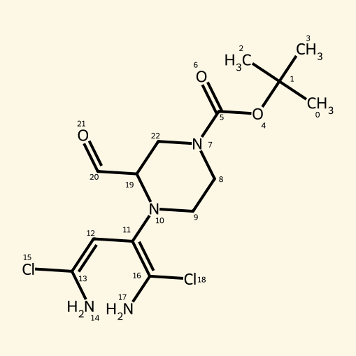 CC(C)(C)OC(=O)N1CCN(C(/C=C(\N)Cl)=C(/N)Cl)C(C=O)C1